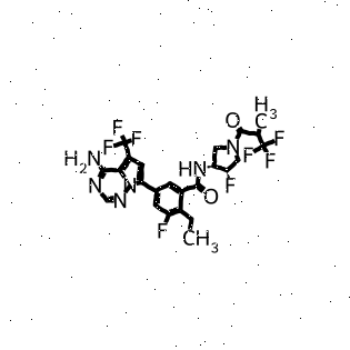 CCc1c(F)cc(-c2cc(C(F)(F)F)c3c(N)ncnn23)cc1C(=O)N[C@@H]1CN(C(=O)C(C)C(F)(F)F)C[C@@H]1F